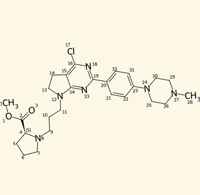 COC(=O)[C@@H]1CCCN1CCCN1CCc2c(Cl)nc(-c3ccc(N4CCN(C)CC4)cc3)nc21